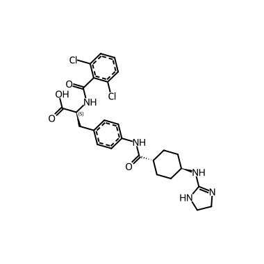 O=C(N[C@@H](Cc1ccc(NC(=O)[C@H]2CC[C@H](NC3=NCCN3)CC2)cc1)C(=O)O)c1c(Cl)cccc1Cl